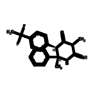 CN1C(=N)N[C@](C)(c2ccccc2)[C@H](c2ccc(C(C)(F)F)cc2)C1=O